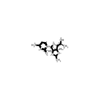 CC1O[C@H]2[C@@H](O1)[C@H](n1ccc(N)nc1=O)O[C@@H]2[C@H](C)O